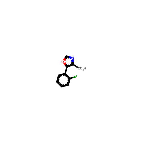 O=C(O)c1ncoc1-c1ccccc1F